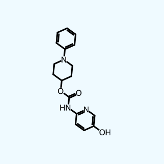 O=C(Nc1ccc(O)cn1)OC1CCN(c2ccccc2)CC1